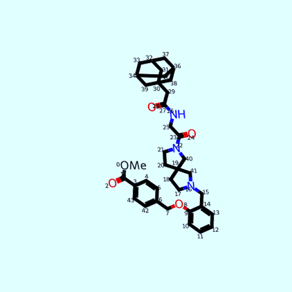 COC(=O)c1ccc(COc2ccccc2CN2CCC3(CCN(C(=O)CNC(=O)CC45CC6CC(CC(C6)C4)C5)C3)C2)cc1